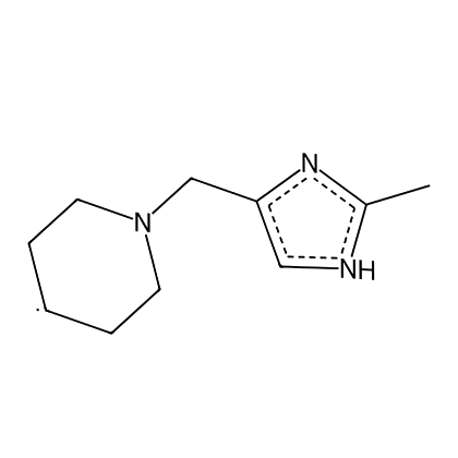 Cc1nc(CN2CC[CH]CC2)c[nH]1